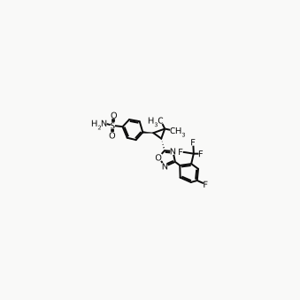 CC1(C)[C@H](c2ccc(S(N)(=O)=O)cc2)[C@H]1c1nc(-c2ccc(F)cc2C(F)(F)F)no1